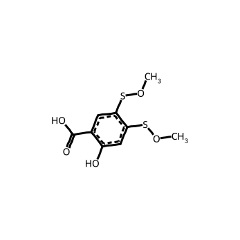 COSc1cc(O)c(C(=O)O)cc1SOC